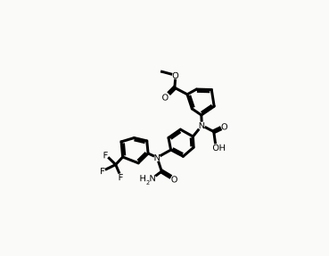 COC(=O)c1cccc(N(C(=O)O)c2ccc(N(C(N)=O)c3cccc(C(F)(F)F)c3)cc2)c1